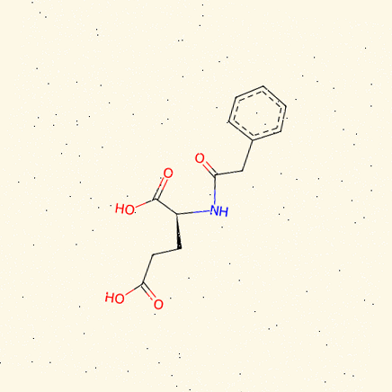 O=C(O)CC[C@H](NC(=O)Cc1ccccc1)C(=O)O